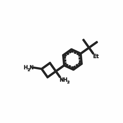 CCC(C)(C)c1ccc(C2(N)CC(N)C2)cc1